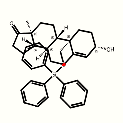 C[C@]12CC[C@H]3[C@@H](CCC4=C[C@@H](O)CC[C@@]43CO[Si](c3ccccc3)(c3ccccc3)c3ccccc3)[C@@H]1CCC2=O